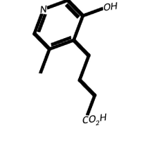 Cc1cncc(O)c1CCCC(=O)O